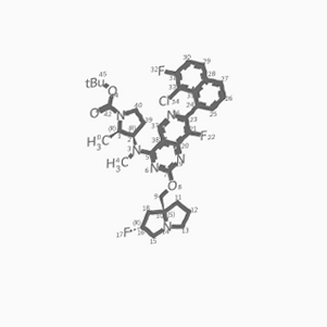 C[C@@H]1[C@H](N(C)c2nc(OC[C@@]34CCCN3C[C@H](F)C4)nc3c(F)c(-c4cccc5ccc(F)c(Cl)c45)ncc23)CCN1C(=O)OC(C)(C)C